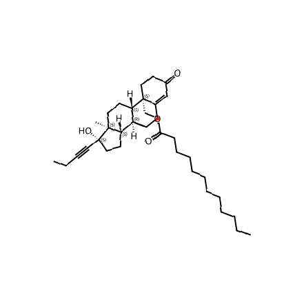 CCC#C[C@]1(O)CC[C@H]2[C@@H]3CCC4=CC(=O)CC[C@]4(COC(=O)CCCCCCCCCCC)[C@H]3CC[C@@]21C